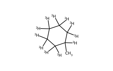 [2H]C1([2H])C([2H])([2H])C([2H])([2H])C([2H])(C)C([2H])([2H])C1([2H])[2H]